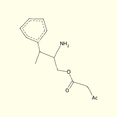 CC(=O)CC(=O)OCC(N)C(C)c1ccccc1